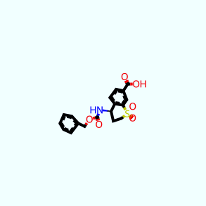 O=C(N[C@@H]1CCS(=O)(=O)c2cc(C(=O)O)ccc21)OCc1ccccc1